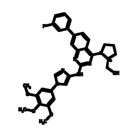 COc1cc(-n2cnc(Nc3nc(N4CCC[C@H]4CO)c4ccc(-c5cccc(F)c5)cc4n3)c2)cc(OC)c1OC